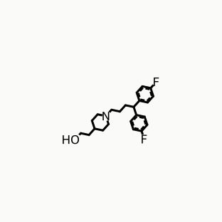 OCCC1CCN(CCCC(c2ccc(F)cc2)c2ccc(F)cc2)CC1